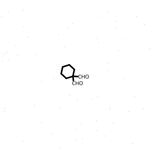 O=CC1(C=O)CCCCC1